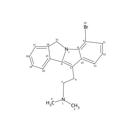 CN(C)CCc1c2n(c3c(Br)cccc13)Cc1ccccc1-2